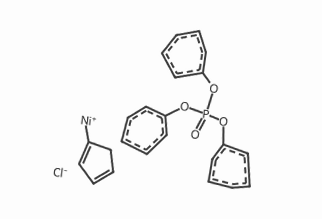 O=P(Oc1ccccc1)(Oc1ccccc1)Oc1ccccc1.[Cl-].[Ni+][C]1=CC=CC1